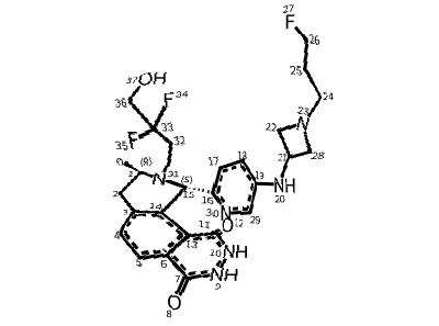 C[C@@H]1Cc2ccc3c(=O)[nH][nH]c(=O)c3c2[C@@H](c2ccc(NC3CN(CCCF)C3)cn2)N1CC(F)(F)CO